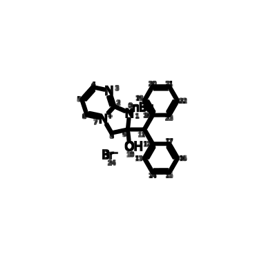 CCCCN1c2nccc[n+]2CC1(O)C(c1ccccc1)c1ccccc1.[Br-]